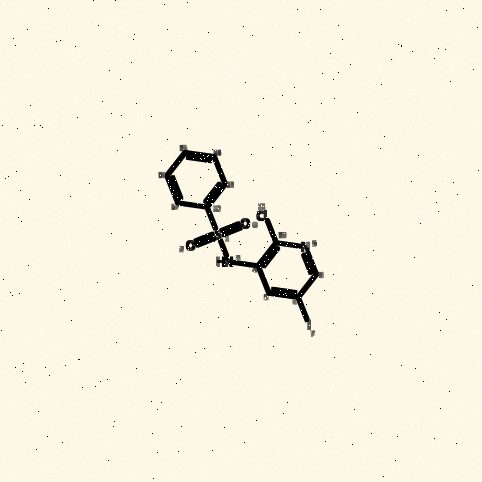 O=S(=O)(Nc1cc(I)cnc1Cl)c1ccccc1